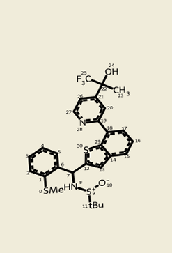 CSc1ccccc1C(N[S+]([O-])C(C)(C)C)c1cc2cccc(-c3cc(C(C)(O)C(F)(F)F)ccn3)c2s1